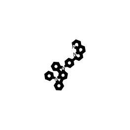 c1ccc(-n2c3ccccc3c3ccc4c(c5ccccc5n4-c4ccc(-c5ccc6ccc7cccnc7c6n5)cc4)c32)cc1